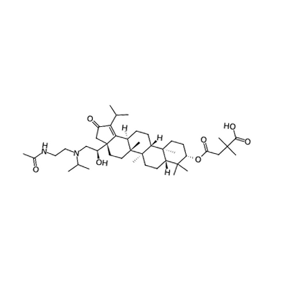 CC(=O)NCCN(C[C@H](O)[C@@]12CC[C@]3(C)[C@H](CC[C@@H]4[C@@]5(C)CC[C@H](OC(=O)CC(C)(C)C(=O)O)C(C)(C)[C@@H]5CC[C@]43C)C1=C(C(C)C)C(=O)C2)C(C)C